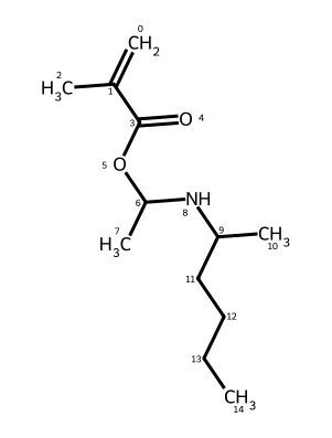 C=C(C)C(=O)OC(C)NC(C)CCCC